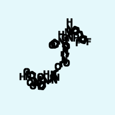 O=C1CCC(N2C(=O)c3cccc(NCc4cn(CCOCCC(=O)N5CCN(c6ccc(C(=O)Nc7n[nH]c8ccc(Cc9cc(F)cc(F)c9)cc78)c(NC7CCOCC7)c6)CC5)nn4)c3C2=O)C(=O)N1